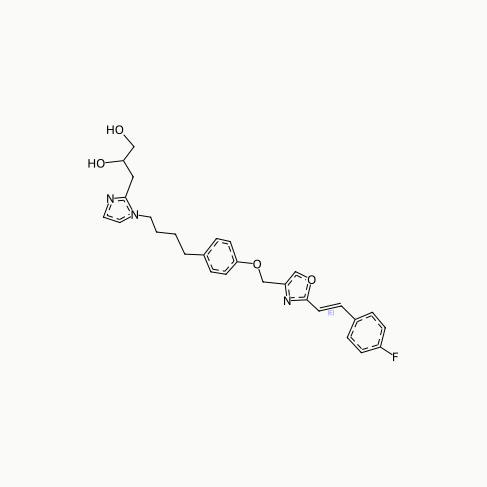 OCC(O)Cc1nccn1CCCCc1ccc(OCc2coc(/C=C/c3ccc(F)cc3)n2)cc1